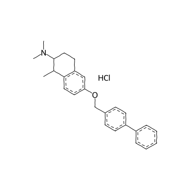 CC1c2ccc(OCc3ccc(-c4ccccc4)cc3)cc2CCC1N(C)C.Cl